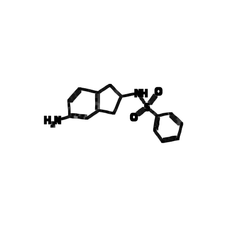 Nc1ccc2c(c1)CC(NS(=O)(=O)c1ccccc1)C2